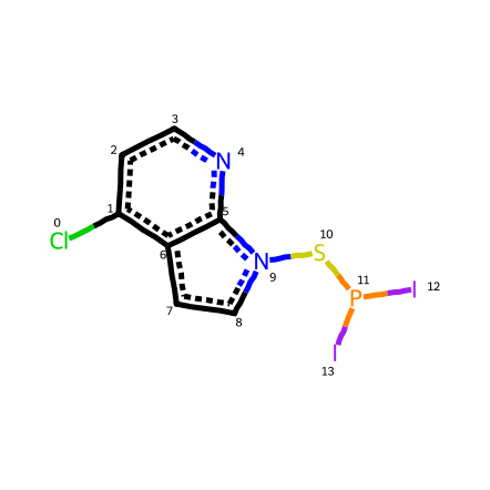 Clc1ccnc2c1ccn2SP(I)I